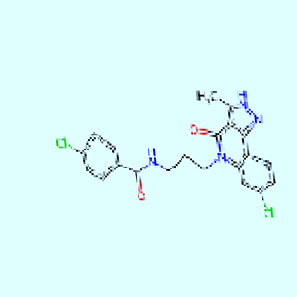 Cc1[nH]nc2c1c(=O)n(CCCNC(=O)c1ccc(Cl)cc1)c1cc(Cl)ccc21